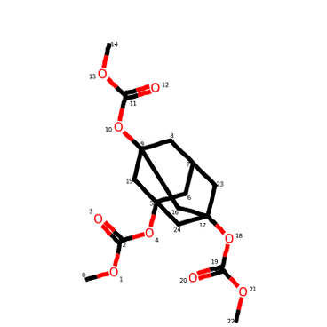 COC(=O)OC12CC3CC(OC(=O)OC)(C1)CC(OC(=O)OC)(C3)C2